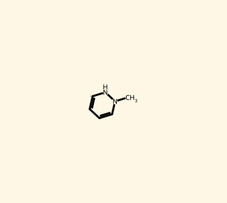 CN1C=CC=[C]N1